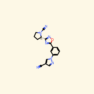 N#Cc1cnn(-c2cccc(-c3nc([C@@H]4CCCN4C#N)no3)c2)c1